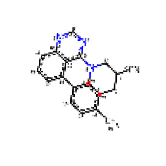 N#CC1CCCN(c2ncnc3cccc(-c4ccc(C(F)(F)F)cc4)c23)C1